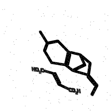 CC=C1CC2CC1C1=C2CC(C)CC1.O=C(O)/C=C/C(=O)O